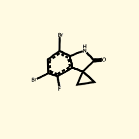 O=C1Nc2c(Br)cc(Br)c(F)c2C12CC2